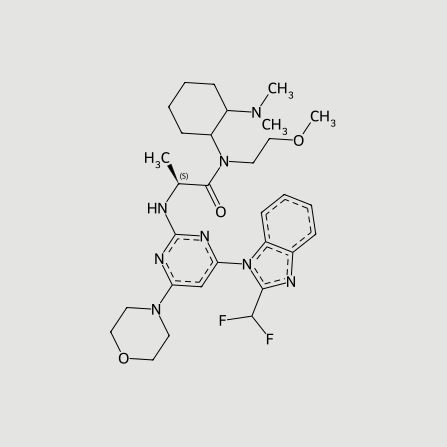 COCCN(C(=O)[C@H](C)Nc1nc(N2CCOCC2)cc(-n2c(C(F)F)nc3ccccc32)n1)C1CCCCC1N(C)C